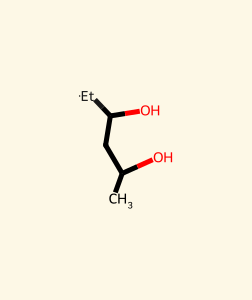 C[CH]C(O)CC(C)O